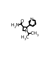 CC(C)N1CC(C(N)=O)C1c1cccnc1